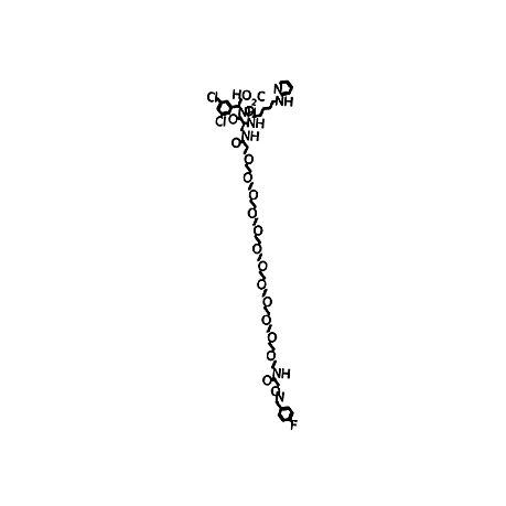 O=C(O)CC(NC(=O)[C@H](CNC(=O)CCOCCOCCOCCOCCOCCOCCOCCOCCOCCOCCOCCOCCNC(=O)CO/N=C/c1ccc(F)cc1)NC(=O)CCCCNc1ccccn1)c1cc(Cl)cc(Cl)c1